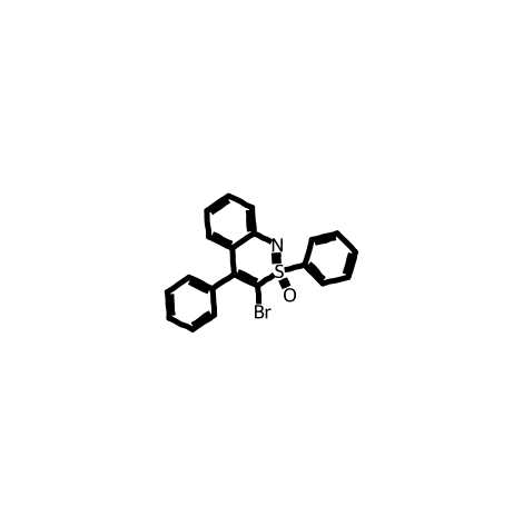 O=S1(c2ccccc2)=Nc2ccccc2C(c2ccccc2)=C1Br